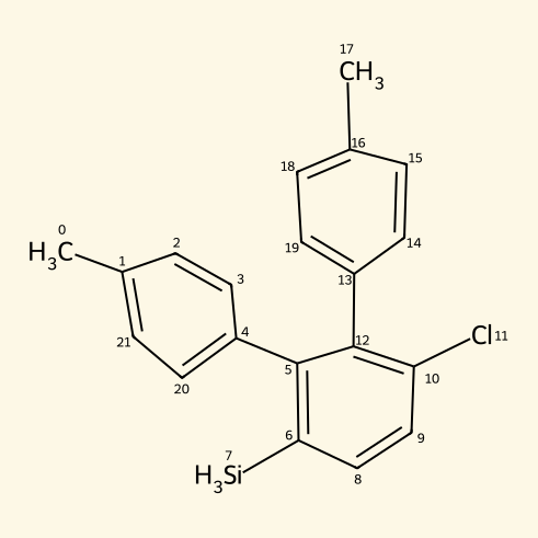 Cc1ccc(-c2c([SiH3])ccc(Cl)c2-c2ccc(C)cc2)cc1